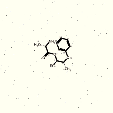 CC[C@@H](OC(=O)[C@H](C)N)[C@@H](C)Oc1ccccc1